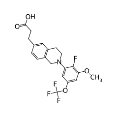 COc1cc(OC(F)(F)F)cc(N2CCc3cc(CCC(=O)O)ccc3C2)c1F